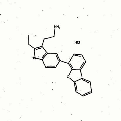 CCc1[nH]c2ccc(-c3cccc4c3oc3ccccc34)cc2c1CCN.Cl